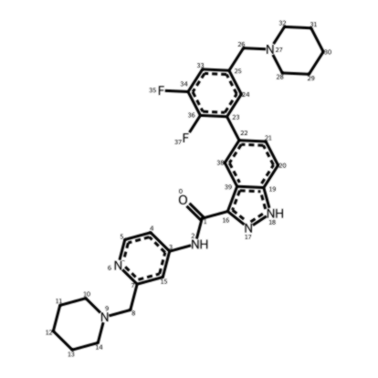 O=C(Nc1ccnc(CN2CCCCC2)c1)c1n[nH]c2ccc(-c3cc(CN4CCCCC4)cc(F)c3F)cc12